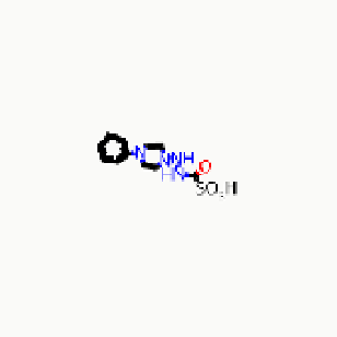 O=C(NNN1CCN(c2ccccc2)CC1)S(=O)(=O)O